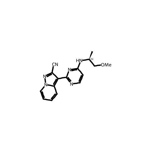 COC[C@H](C)Nc1ccnc(-c2c(C#N)nn3ccccc23)n1